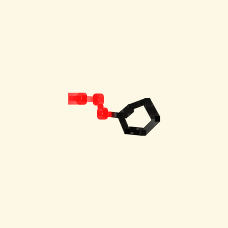 OOOc1ccccc1